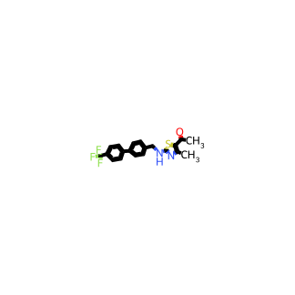 CC(=O)c1sc(NCc2ccc(-c3ccc(C(F)(F)F)cc3)cc2)nc1C